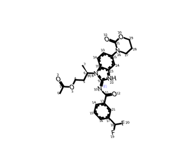 CC(=O)OCC[C@@H](C)n1/c(=N/C(=O)c2cccc(C(F)F)c2)[nH]c2cc(N3CCCOC3=O)ccc21